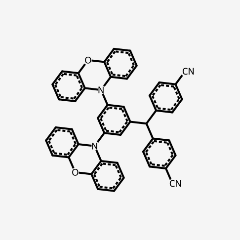 N#Cc1ccc(C(c2ccc(C#N)cc2)c2cc(N3c4ccccc4Oc4ccccc43)cc(N3c4ccccc4Oc4ccccc43)c2)cc1